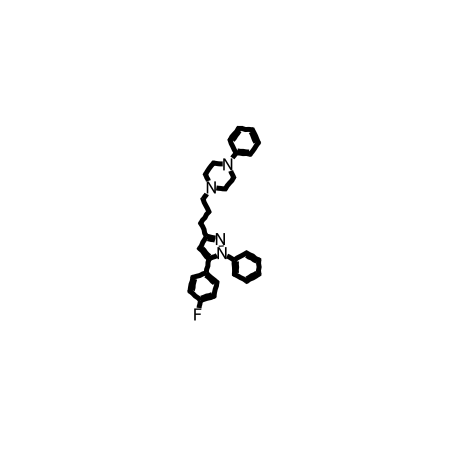 Fc1ccc(-c2cc(CCCN3CCN(c4ccccc4)CC3)nn2-c2ccccc2)cc1